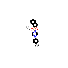 O=C(O)C1(S(=O)(=O)N2CCN(c3ccc(C(F)(F)F)cc3)CC2)CCc2ccccc21